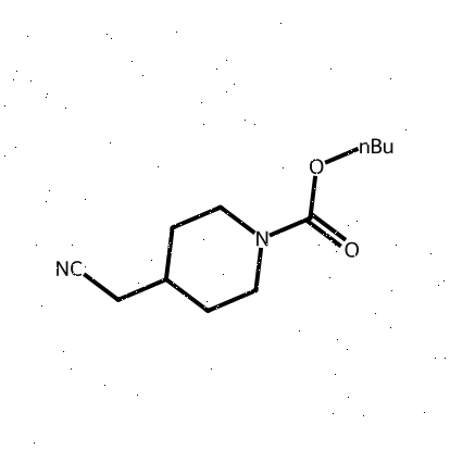 CCCCOC(=O)N1CCC(CC#N)CC1